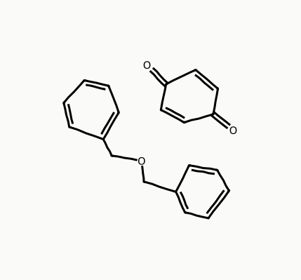 O=C1C=CC(=O)C=C1.c1ccc(COCc2ccccc2)cc1